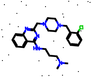 CN(C)CCCNc1nc(CN2CCN(Cc3ccccc3Cl)CC2)nc2ccccc12